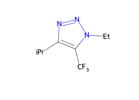 CCn1nnc(C(C)C)c1C(F)(F)F